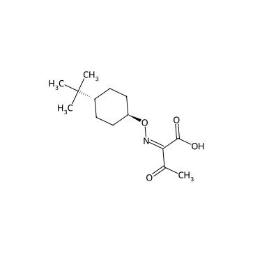 CC(=O)C(=NO[C@H]1CC[C@H](C(C)(C)C)CC1)C(=O)O